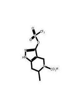 CC1Cc2[nH]nc(OS(=O)(=O)C(F)(F)F)c2CN1C(=O)O